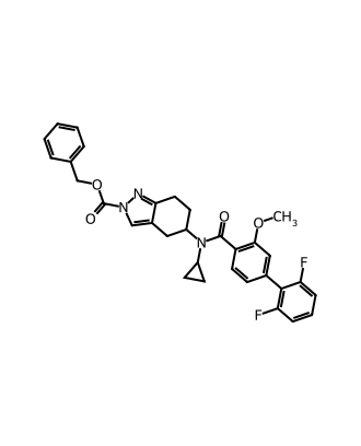 COc1cc(-c2c(F)cccc2F)ccc1C(=O)N(C1CC1)C1CCc2nn(C(=O)OCc3ccccc3)cc2C1